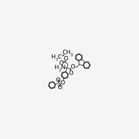 CC(C)OC(=O)CC(N)(C(=O)OCC1c2ccccc2-c2ccccc21)c1ccc(OS(=O)(=O)c2ccccc2)cc1